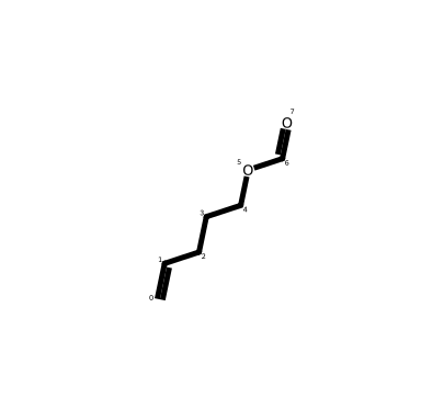 C=CCCCOC=O